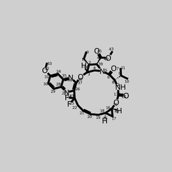 CC[C@@H]1[C@@H]2CN(C(=O)[C@H](C(C)C)NC(=O)O[C@@H]3C[C@H]3CC=CCC(F)(F)c3nc4ccc(OC)cc4nc3O2)[C@@H]1C(=O)OC